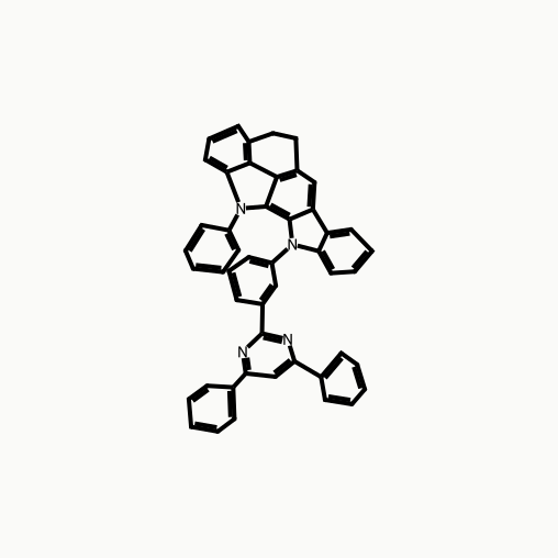 c1ccc(-c2cc(-c3ccccc3)nc(-c3cccc(-n4c5ccccc5c5cc6c7c8c(cccc8n(-c8ccccc8)c7c54)CC6)c3)n2)cc1